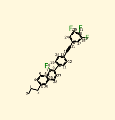 CCCc1ccc2c(F)c(-c3ccc(C#Cc4cc(F)c(F)c(F)c4)cc3)ccc2c1